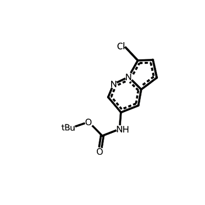 CC(C)(C)OC(=O)Nc1cnn2c(Cl)ccc2c1